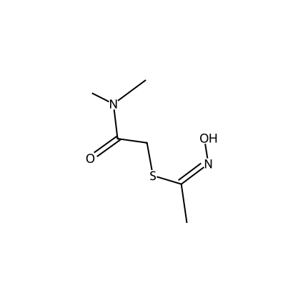 CC(=NO)SCC(=O)N(C)C